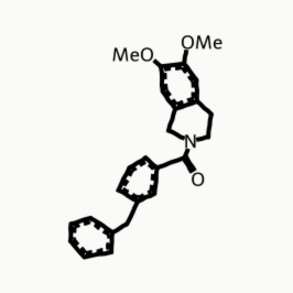 COc1cc2c(cc1OC)CN(C(=O)c1cccc(Cc3ccccc3)c1)CC2